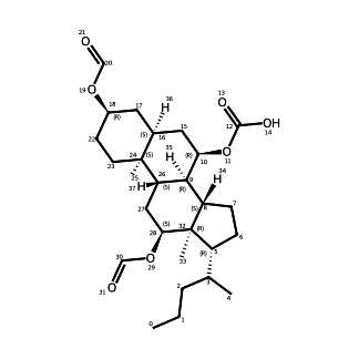 CCCC(C)[C@H]1CC[C@H]2[C@@H]3[C@H](OC(=O)O)C[C@@H]4C[C@H](OC=O)CC[C@]4(C)[C@H]3C[C@H](OC=O)[C@]12C